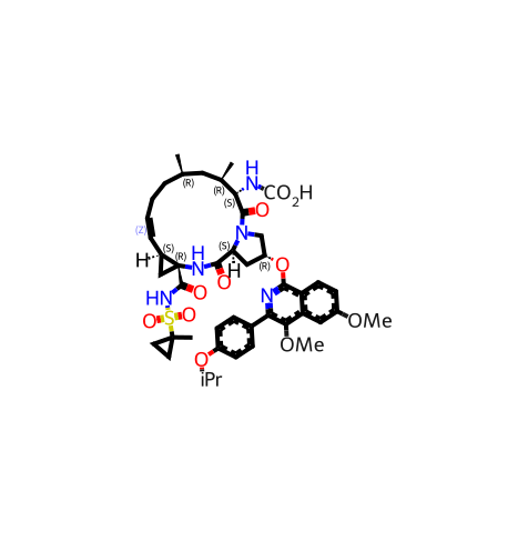 COc1ccc2c(O[C@@H]3C[C@H]4C(=O)N[C@]5(C(=O)NS(=O)(=O)C6(C)CC6)C[C@H]5/C=C\CC[C@@H](C)C[C@@H](C)[C@H](NC(=O)O)C(=O)N4C3)nc(-c3ccc(OC(C)C)cc3)c(OC)c2c1